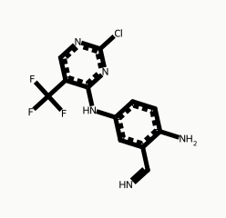 N=Cc1cc(Nc2nc(Cl)ncc2C(F)(F)F)ccc1N